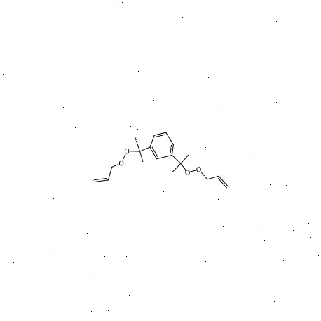 C=CCOOC(C)(C)c1cccc(C(C)(C)OOCC=C)c1